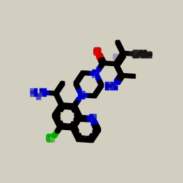 CO/C(C)=C(\C(C)=N)C(=O)N1CCN(c2c(C(C)N)cc(Cl)c3cccnc23)CC1